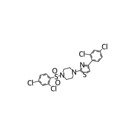 O=S(=O)(c1ccc(Cl)cc1Cl)N1CCN(c2nc(-c3ccc(Cl)cc3Cl)cs2)CC1